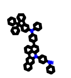 C1=c2ccccc2=CC2C1c1cccc3c(-c4ccc(N(c5ccccc5)c5ccc6c(c5)-c5ccccc5C6(c5ccccc5)c5ccccc5)cc4)ccc(c13)N2c1ccc(Nc2ccccc2)cc1